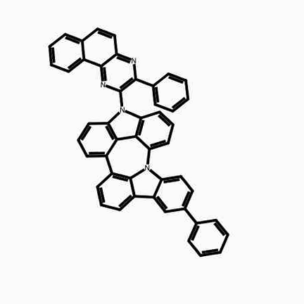 c1ccc(-c2ccc3c(c2)c2cccc4c5cccc6c5c5c(cccc5n3c42)n6-c2nc3c(ccc4ccccc43)nc2-c2ccccc2)cc1